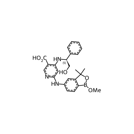 COB1OC(C)(C)c2cc(Nc3cc(N[C@H](CO)c4ccccc4)c(C(=O)O)cn3)ccc21